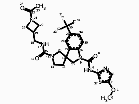 COc1cnc(NC(=O)N2CC3(CCN(C(=O)NCC4CN(C(C)=O)C4)C3)c3cc(C(F)(F)F)ccc32)s1